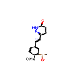 COc1ccc(/C=C/c2ccc(=O)[nH]n2)cc1[S+](C)[O-]